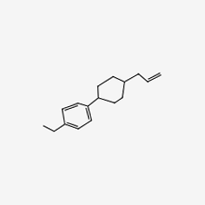 C=CCC1CCC(c2ccc(CC)cc2)CC1